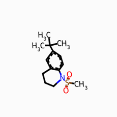 CC(C)(C)c1ccc2c(c1)CCCN2S(C)(=O)=O